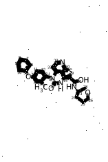 Cc1cc(Oc2ccccc2)ccc1N1C(=O)Nc2c(C(O)N[C@@H]3CCCOC3)sc3nccc1c23